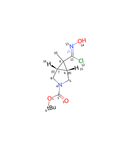 CC(C)(C)OC(=O)N1C[C@@H]2[C@H](C1)C2(C)/C(Cl)=N/O